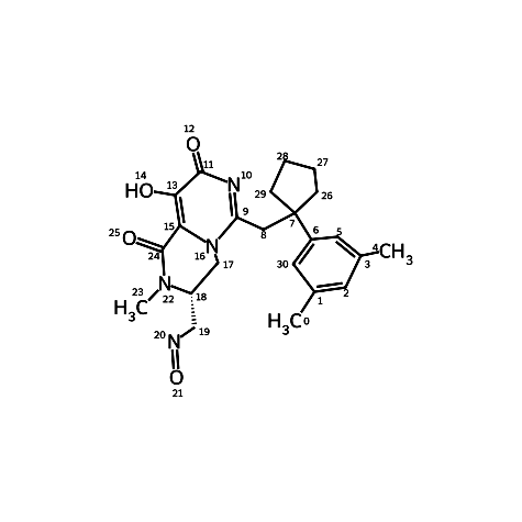 Cc1cc(C)cc(C2(Cc3nc(=O)c(O)c4n3C[C@H](CN=O)N(C)C4=O)CCCC2)c1